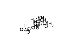 CC(C)[C@H](N)C(=O)N[C@@H](CCCNC(N)=O)C(=O)Nc1ccc(COC(=O)NCc2ccccc2)cc1